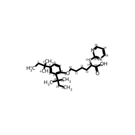 CCC(C)(C)c1ccc(OCCCCC(Sc2ncccn2)C(=O)O)c(C(C)(C)CC)c1